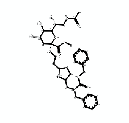 COC(=O)[C@@]1(OCCC2CCC(CN(Cc3ccccc3)C(=O)OCc3ccccc3)N2)C[C@@H](O)[C@@H](O)C([C@H](O)COC(C)=O)O1